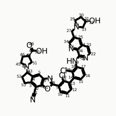 N#Cc1c2c(cc3nc(-c4cccc(-c5cccc(Nc6nccc7cc(CN8CC[C@@H](O)C8)cnc67)c5Cl)c4Cl)oc13)[C@H](N1CC[C@@H](C(=O)O)C1)CC2